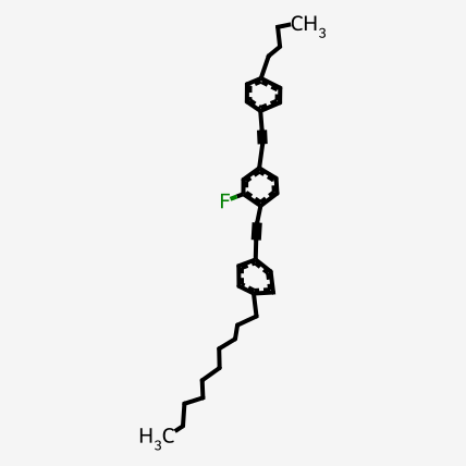 CCCCCCCCCCc1ccc(C#Cc2ccc(C#Cc3ccc(CCCC)cc3)cc2F)cc1